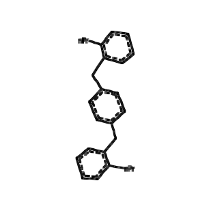 CCCc1ccccc1Cc1ccc(Cc2ccccc2CCC)cc1